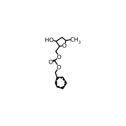 CC1CC(O)C(COC(=O)OCc2ccccc2)O1